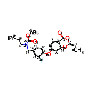 C/C=C1/OC(=O)c2ccc(Oc3ccc(CN(CCC(C)C)C(=O)OCCCC)cc3F)cc2O1